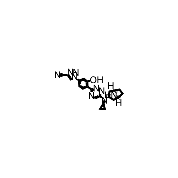 N#Cc1cn(-c2ccc(-c3ncc(N(C4CC4)[C@@H]4C[C@H]5CC[C@@H](C4)N5)nn3)c(O)c2)nn1